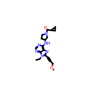 CCn1c(C#CCOC)nc2c(N[C@H]3CCN(C(=O)C4CC4)C3)ncnc21